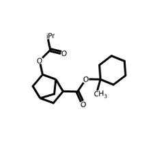 CC(C)C(=O)OC1CC2CC(C(=O)OC3(C)CCCCC3)C1C2